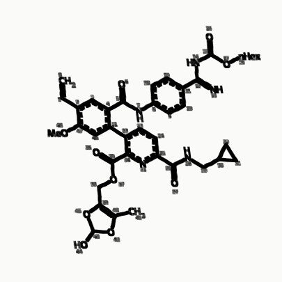 C=Cc1cc(C(=O)Nc2ccc(C(=N)NC(=O)OCCCCCC)cc2)c(-c2ccc(C(=O)NCC3CC3)nc2C(=O)OCC2=C(C)OC(O)O2)cc1OC